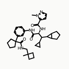 Cn1nccc1C(=O)N[C@H](C(=O)Nc1cccc(C2(C(=O)NCC3(C)CCC3)CCCC2)c1)C(C1CC1)C1C2CCCC21